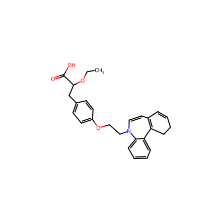 CCOC(Cc1ccc(OCCN2C=CC3=C(CCC=C3)c3ccccc32)cc1)C(=O)O